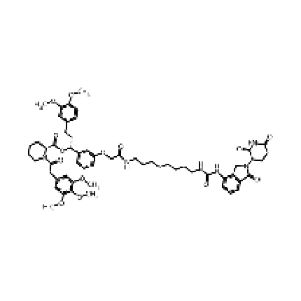 COc1ccc(CC[C@@H](OC(=O)[C@@H]2CCCCN2C(=O)Cc2cc(OC)c(OC)c(OC)c2)c2cccc(OCC(=O)NCCCCCCCCNC(=O)Nc3cccc4c3CN(C3CCC(=O)NC3=O)C4=O)c2)cc1OC